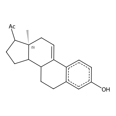 CC(=O)C1CCC2C3CCc4cc(O)ccc4C3=CC[C@]12C